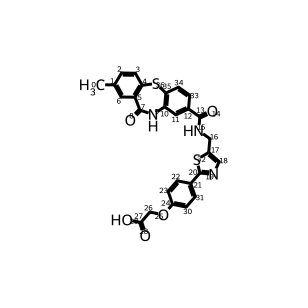 Cc1ccc2c(c1)C(=O)Nc1cc(C(=O)NCc3cnc(-c4ccc(OCC(=O)O)cc4)s3)ccc1S2